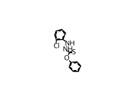 S=C(NNc1ccccc1Cl)Oc1ccccc1